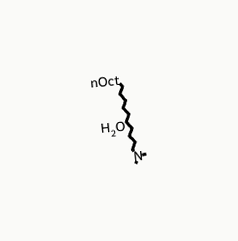 CCCCCCCCCCCCCCCCCCN(C)C.O